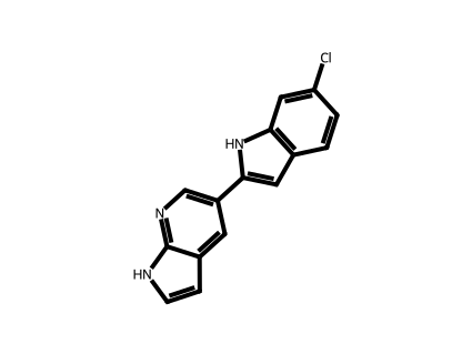 Clc1ccc2cc(-c3cnc4[nH]ccc4c3)[nH]c2c1